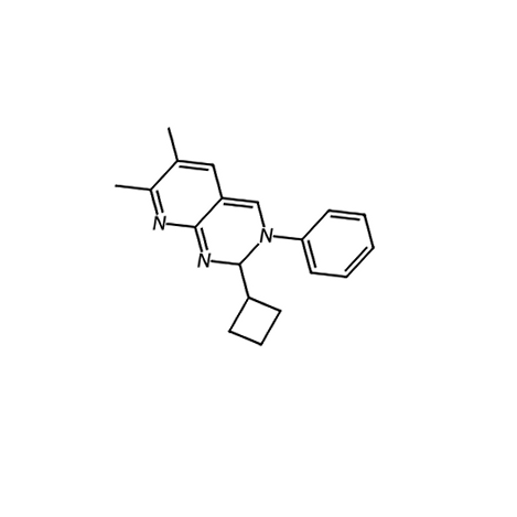 Cc1cc2c(nc1C)=NC(C1CCC1)N(c1ccccc1)C=2